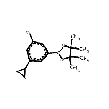 CC1(C)OB(c2cc(Cl)cc(C3CC3)c2)OC1(C)C